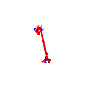 C=CC(=O)N1CCN(c2nc(OC[C@@H]3C[C@@H](OCCOCCOCCOCCOCCOCCOCCOCCOCCOCCOCC(=O)N[C@H](C(=O)N4C[C@H](O)C[C@H]4C(=O)N[C@@H](C)c4ccc(-c5scnc5C)cc4)C(C)(C)C)CN3C)nc3c2CCN(c2cccc4ccccc24)C3)C[C@@H]1CC#N